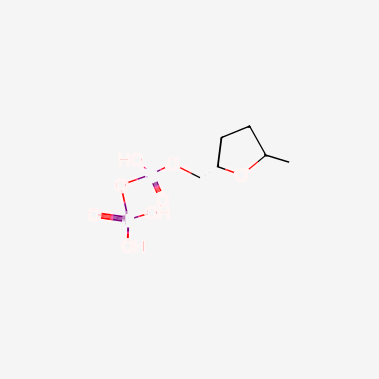 CC1CC[C@@H](COP(=O)(O)OP(=O)(O)O)O1